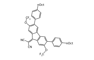 CCCCCCCCc1ccc(-c2cc3c(cc2OC(F)(F)F)C(=C(C#N)C#N)c2cc(OC(F)(F)F)c(-c4ccc(CCCCCCCC)cc4)cc2-3)cc1